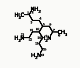 CC(N)CCC(CC(C)N)C(CCN)CCCN